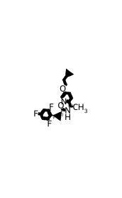 C[C@@H](NC(=O)[C@@H]1C[C@H]1c1c(F)cc(F)cc1F)c1ccc(OCCC2CC2)cn1